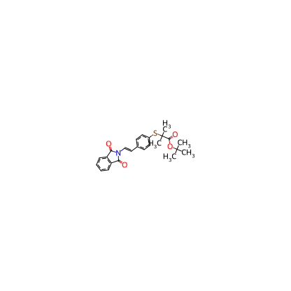 CC(C)(C)OC(=O)C(C)(C)Sc1ccc(/C=C/N2C(=O)c3ccccc3C2=O)cc1